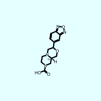 O=C(O)N1CCN2CC(c3ccc4nonc4c3)OC[C@@H]2C1